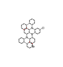 Clc1ccc2c(c1)N(c1ccccc1-c1ccccc1)c1cccc3c1B2c1ccc(Br)cc1N3c1ccccc1-c1ccccc1